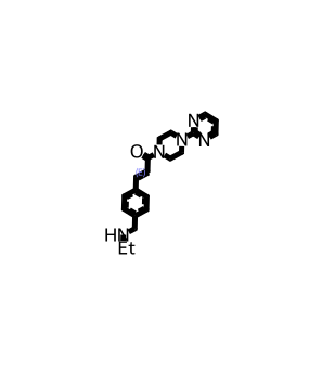 CCNCc1ccc(/C=C/C(=O)N2CCN(c3ncccn3)CC2)cc1